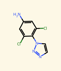 Nc1cc(Cl)c(-n2ccnn2)c(Cl)c1